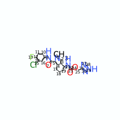 Cn1cc2c(c1C(=O)Nc1ccc(F)c(Cl)c1)CCCC2NC(=O)OCc1nc[nH]n1